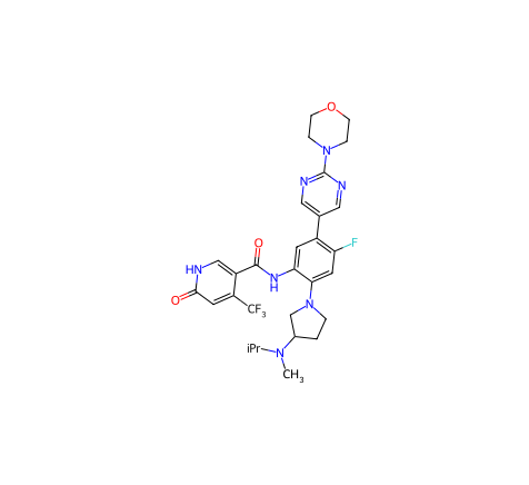 CC(C)N(C)C1CCN(c2cc(F)c(-c3cnc(N4CCOCC4)nc3)cc2NC(=O)c2c[nH]c(=O)cc2C(F)(F)F)C1